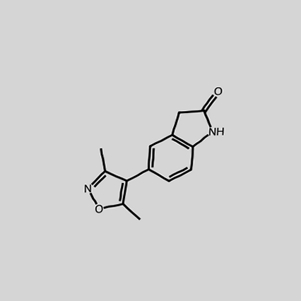 Cc1noc(C)c1-c1ccc2c(c1)CC(=O)N2